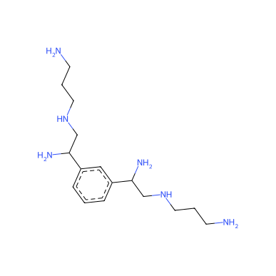 NCCCNCC(N)c1cccc(C(N)CNCCCN)c1